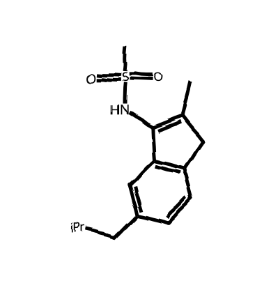 CC1=C(NS(C)(=O)=O)c2cc(CC(C)C)ccc2C1